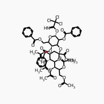 COC(=O)[C@@]1(OC2C(OC(=O)c3ccccc3)[C@@H](OC(=N)C(Cl)(Cl)Cl)OC(COC(=O)c3ccccc3)[C@@H]2OC(=O)c2ccccc2)CC(OC(C)=O)[C@@H](NC(C)=O)C([C@H](OC(C)=O)C(COC(C)=O)OC(C)=O)O1